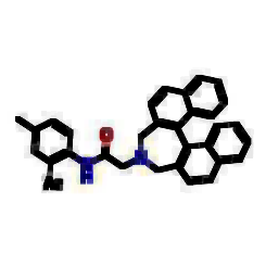 CC(=O)c1cc(C)ccc1NC(=O)CN1Cc2ccc3ccccc3c2-c2c(ccc3ccccc23)C1